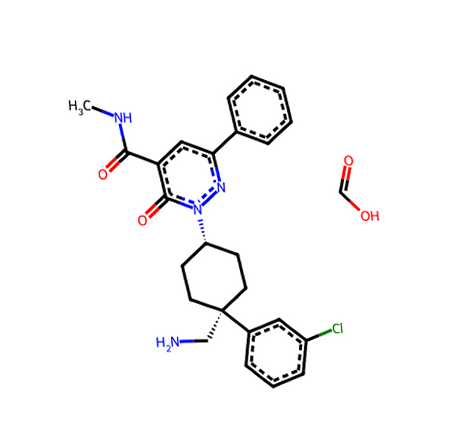 CNC(=O)c1cc(-c2ccccc2)nn([C@H]2CC[C@](CN)(c3cccc(Cl)c3)CC2)c1=O.O=CO